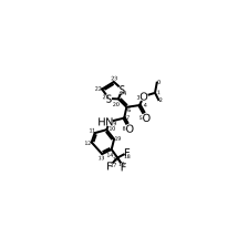 CC(C)OC(=O)C(C(=O)Nc1cccc(C(F)(F)F)c1)=C1SC=CS1